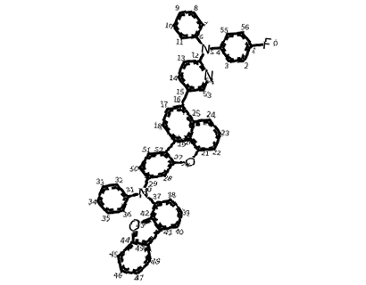 Fc1ccc(N(c2ccccc2)c2ccc(-c3ccc4c5c(cccc35)Oc3cc(N(c5ccccc5)c5cccc6c5oc5ccccc56)ccc3-4)cn2)cc1